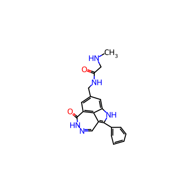 CNCC(=O)NCc1cc2c3c(c(-c4ccccc4)[nH]c3c1)C=NNC2=O